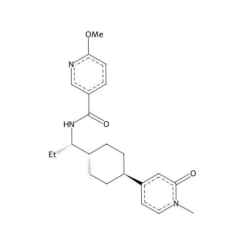 CC[C@H](NC(=O)c1ccc(OC)nc1)[C@H]1CC[C@H](c2ccn(C)c(=O)c2)CC1